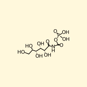 O=C(NC(=O)[C@H](O)[C@@H](O)[C@H](O)[C@H](O)CO)OP(=O)(O)O